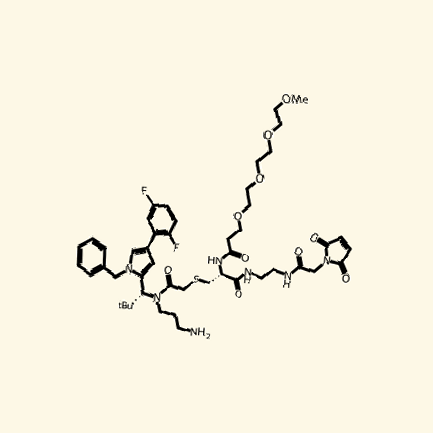 COCCOCCOCCOCCC(=O)N[C@@H](CSCC(=O)N(CCCN)[C@@H](c1cc(-c2cc(F)ccc2F)cn1Cc1ccccc1)C(C)(C)C)C(=O)NCCNC(=O)CN1C(=O)C=CC1=O